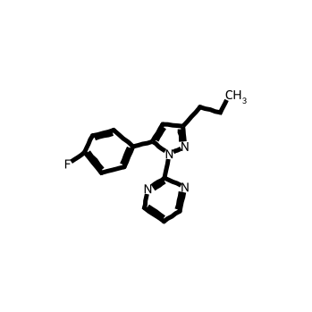 CCCc1cc(-c2ccc(F)cc2)n(-c2ncccn2)n1